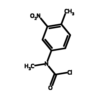 Cc1ccc(N(C)C(=O)Cl)cc1[N+](=O)[O-]